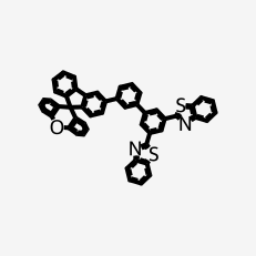 c1cc(-c2cc(-c3nc4ccccc4s3)cc(-c3nc4ccccc4s3)c2)cc(-c2ccc3c(c2)-c2ccccc2C32c3ccccc3Oc3ccccc32)c1